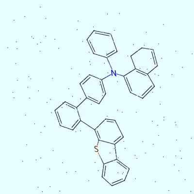 C1=Cc2cccc(N(c3ccccc3)c3ccc(-c4ccccc4-c4cccc5c4sc4ccccc45)cc3)c2CC1